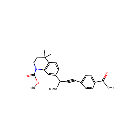 CCCCCC(C#Cc1ccc(C(=O)OC)cc1)c1ccc2c(c1)N(C(=O)OC(C)(C)C)CCC2(C)C